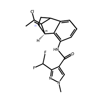 C/C(Cl)=C1/C2CC[C@@H]1c1c(NC(=O)c3cn(C)nc3C(F)F)cccc12